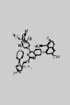 C#Cc1c(F)ccc2cc(O)cc(N3CCc4c(nc(OC[C@]5(C)C[C@@H](F)CN5C5CCOCC5)nc4N4C[C@H]5CC(C#N)[C@@H](C4)N5C(=O)C=C)C3)c12